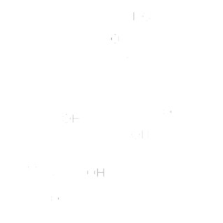 COC(=O)C(O)C(C)(O)Cc1ccc2c(c1O)C(=O)c1cccc(O)c1C2=O